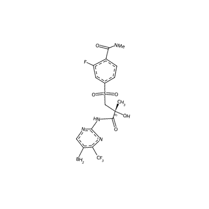 Bc1cnc(NC(=O)[C@@](C)(O)CS(=O)(=O)c2ccc(C(=O)NC)c(F)c2)nc1C(F)(F)F